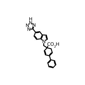 O=C(O)C1(Cn2ccc3cc(-c4nn[nH]n4)ccc32)C=CC(c2ccccc2)=CC1